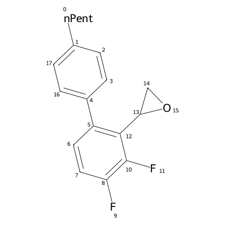 CCCCCc1ccc(-c2ccc(F)c(F)c2C2CO2)cc1